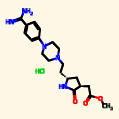 COC(=O)C[C@@H]1C[C@@H](CCN2CCN(c3ccc(C(=N)N)cc3)CC2)NC1=O.Cl